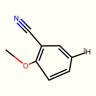 [3H]c1ccc(OC)c(C#N)c1